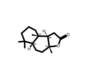 CC1(C)CCC[C@@]2(C)[C@@H]1CC[C@@]1(C)OC(=O)C[C@H]21